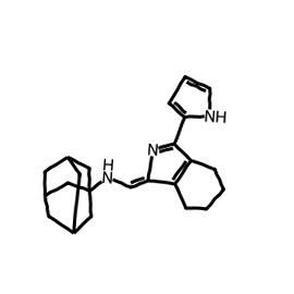 C(NC12CC3CC(CC(C3)C1)C2)=C1N=C(c2ccc[nH]2)C2=C1CCCC2